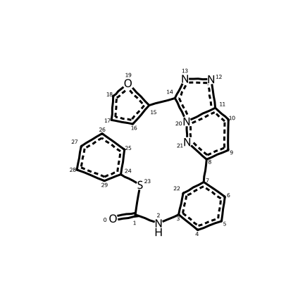 O=C(Nc1cccc(-c2ccc3nnc(-c4ccco4)n3n2)c1)Sc1ccccc1